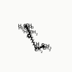 C=C(CCCCCCCCc1cccc(C(=C)NCCNC(C)(C)C)c1)NCC#CC(C)(C)C